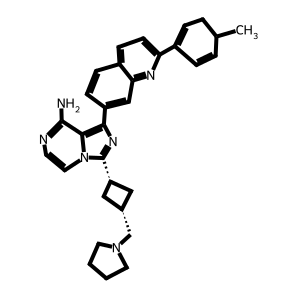 CC1C=CC(c2ccc3ccc(-c4nc([C@H]5C[C@@H](CN6CCCC6)C5)n5ccnc(N)c45)cc3n2)=CC1